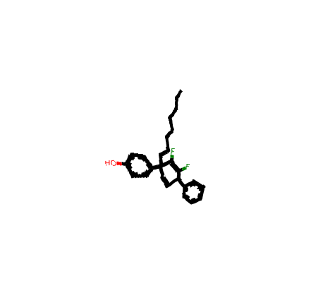 CCCCCCCCC1(c2ccc(O)cc2)C=CC(c2ccccc2)C(F)=C1F